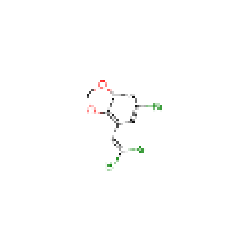 BrC(Br)=Cc1cc(Br)cc2c1OCO2